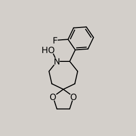 ON1CCC2(CCC1c1ccccc1F)OCCO2